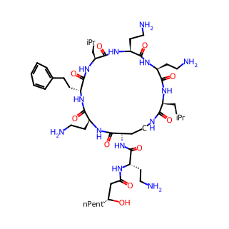 CCCCC[C@@H](O)CC(=O)N[C@@H](CCN)C(=O)N[C@H]1CCNC(=O)[C@H](CC(C)C)NC(=O)[C@H](CCN)NC(=O)[C@H](CCN)NC(=O)[C@H](CC(C)C)NC(=O)[C@@H](CCc2ccccc2)NC(=O)[C@H](CCN)NC1=O